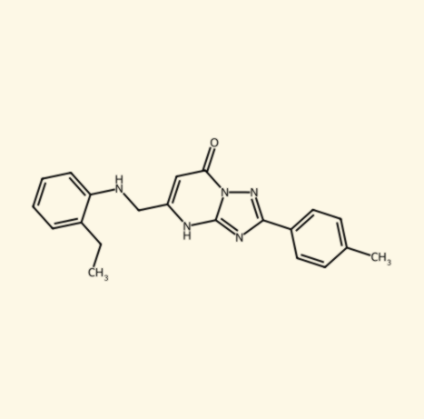 CCc1ccccc1NCc1cc(=O)n2nc(-c3ccc(C)cc3)nc2[nH]1